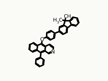 CC1(C)c2ccccc2-c2ccc(-c3ccc(Oc4c5ccccc5c(-c5ccccc5)c5cnccc45)cc3)cc21